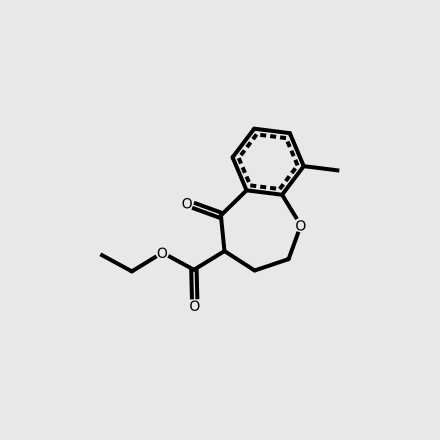 CCOC(=O)C1CCOc2c(C)cccc2C1=O